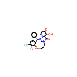 O=C1c2c(O)c(=O)ccn2N2CN1C/C=C\COc1c(ccc(Cl)c1Cl)[C@@H]2c1ccccc1